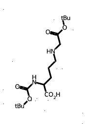 CC(C)(C)OC(=O)CNCCCC(NC(=O)OC(C)(C)C)C(=O)O